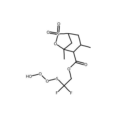 CC1CC2CC(C)(OS2(=O)=O)C1C(=O)OCC(F)(F)SOOO